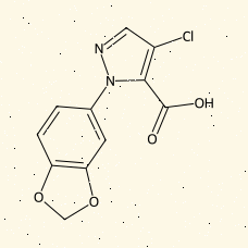 O=C(O)c1c(Cl)cnn1-c1ccc2c(c1)OCO2